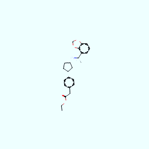 CCOC(=O)Cc1ccc([C@@H]2CC[C@H](N[C@H](C)c3cccc4c3OCO4)C2)cc1